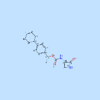 C[C@@H](OC(=O)N[C@H]1CNC1=O)c1ccc(C2CCCCC2)cc1